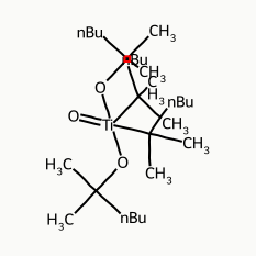 CCCCC(C)(C)[O][Ti](=[O])([O]C(C)(C)CCCC)([C](C)(C)CCCC)[C](C)(C)CCCC